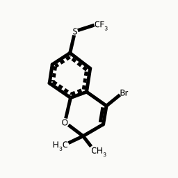 CC1(C)C=C(Br)c2cc(SC(F)(F)F)ccc2O1